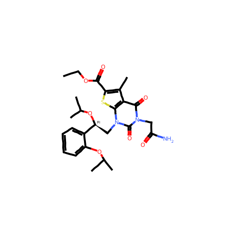 CCOC(=O)c1sc2c(c1C)c(=O)n(CC(N)=O)c(=O)n2C[C@H](OC(C)C)c1ccccc1OC(C)C